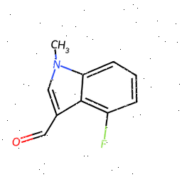 Cn1cc(C=O)c2c(F)cccc21